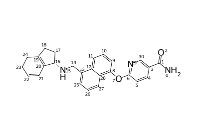 NC(=O)c1ccc(Oc2cccc3c(CN[C@H]4CCC5=C4C=CCC5)cccc23)nc1